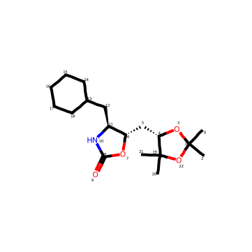 CC1(C)O[C@@H](C[C@@H]2OC(=O)N[C@H]2CC2CCCCC2)C(C)(C)O1